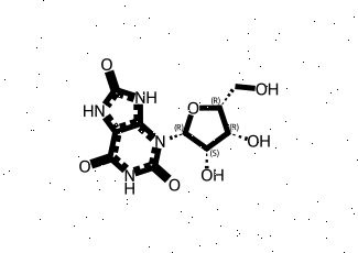 O=c1[nH]c2c(=O)[nH]c(=O)n([C@@H]3O[C@H](CO)[C@H](O)[C@@H]3O)c2[nH]1